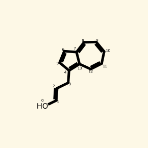 OC=CCc1ccc2cccccc1-2